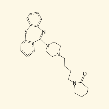 O=C1CCCCN1CCCCN1CCN(C2=Nc3ccccc3Sc3ccccc32)CC1